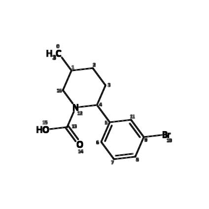 CC1CCC(c2cccc(Br)c2)N(C(=O)O)C1